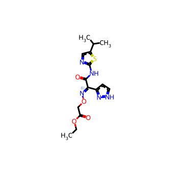 CCOC(=O)CO/N=C(/C(=O)Nc1ncc(C(C)C)s1)c1cc[nH]n1